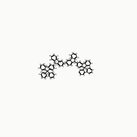 c1ccc(C2(c3ccccc3)c3ccccc3-c3cc(C4c5ccccc5-c5cc(-c6ccc7c(c6)c6ccccc6n7-c6ccc7c(c6)-c6ccccc6C7(c6ccccc6)c6ccccc6)ccc54)ccc32)cc1